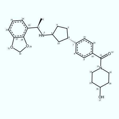 C[C@@H](NC1CC[C@H](c2ccc(C(=O)N3CCC(O)CC3)cc2)C1)c1cccc2c1OCO2